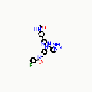 CC(=O)Nc1ccc(-c2cnc3c(c2)nc(-c2cccnc2N)n3-c2ccc(CNC(=O)c3cccc(F)c3)cc2)cc1